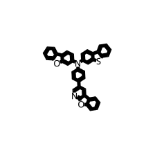 c1ccc2c(c1)oc1cc(N(c3ccc(-c4cnc5oc6ccccc6c5c4)cc3)c3ccc4c(c3)sc3ccccc34)ccc12